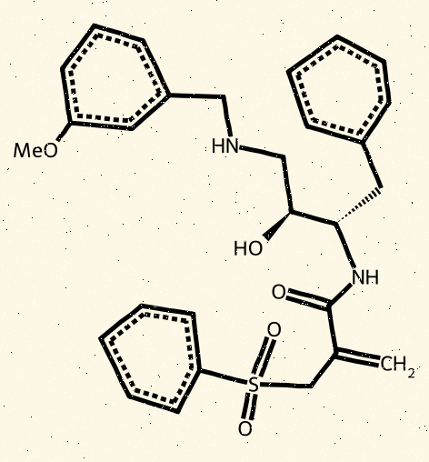 C=C(CS(=O)(=O)c1ccccc1)C(=O)N[C@@H](Cc1ccccc1)[C@@H](O)CNCc1cccc(OC)c1